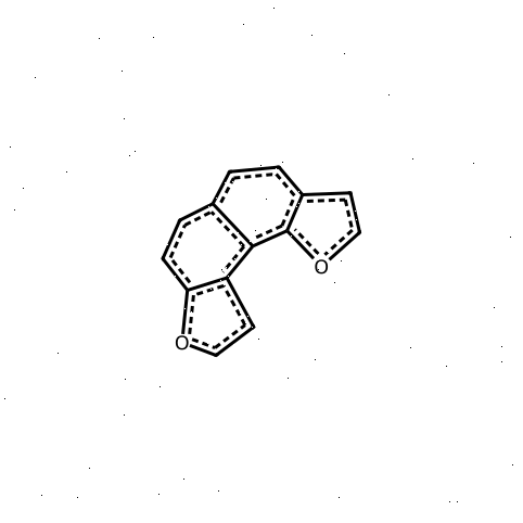 c1cc2c(ccc3ccc4ccoc4c32)o1